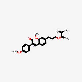 C=C(C)C(=C)OCCCc1ccc(/C=C(\C=O)c2ccc(OC)cc2)c(OC)c1